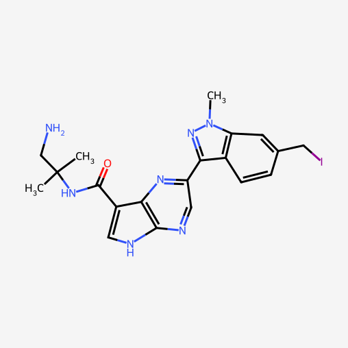 Cn1nc(-c2cnc3[nH]cc(C(=O)NC(C)(C)CN)c3n2)c2ccc(CI)cc21